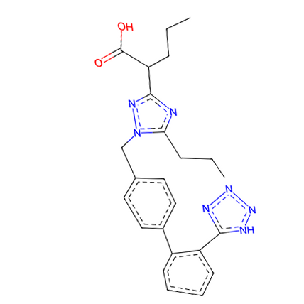 CCCc1nc(C(CCC)C(=O)O)nn1Cc1ccc(-c2ccccc2-c2nnn[nH]2)cc1